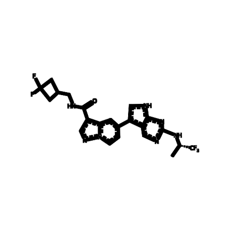 C[C@H](Nc1ncc2c(-c3ccn4ncc(C(=O)NCC5CC(F)(F)C5)c4c3)c[nH]c2n1)C(F)(F)F